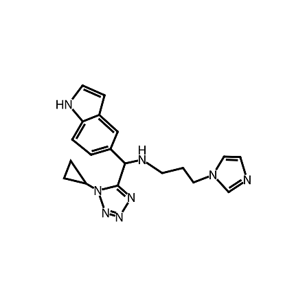 c1cn(CCCNC(c2ccc3[nH]ccc3c2)c2nnnn2C2CC2)cn1